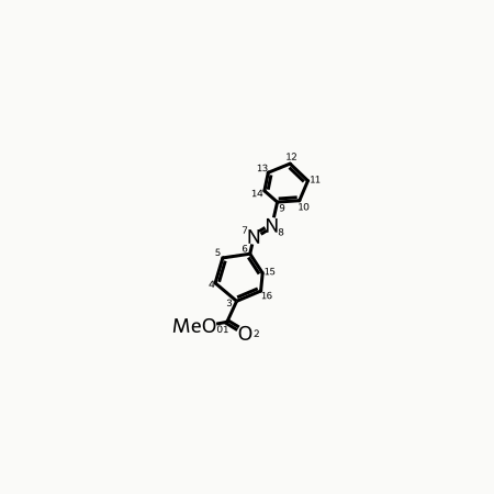 COC(=O)c1ccc(N=Nc2ccccc2)cc1